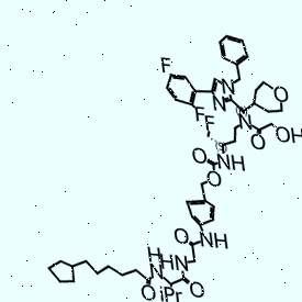 CC(C)C(NC(=O)CCCCCC1CCCC1)C(=O)NCC(=O)Nc1ccc(COC(=O)N[C@H](CF)CCN(C(=O)CO)[C@@H](c2nc(-c3cc(F)ccc3F)cn2Cc2ccccc2)C2CCOCC2)cc1